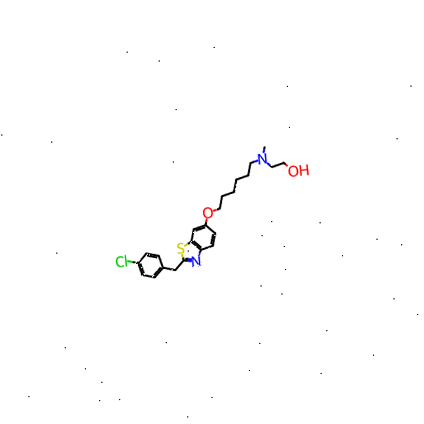 CN(CCO)CCCCCCOc1ccc2nc(Cc3ccc(Cl)cc3)sc2c1